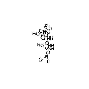 COc1cccc2c(Nc3cc(CO)cc(NC(=O)Nc4ccc(N(CCCl)CCCl)cc4)c3)c3cccc(C(=O)O)c3nc12